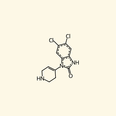 O=c1[nH]c2cc(Cl)c(Cl)cc2n1C1=CCNCC1